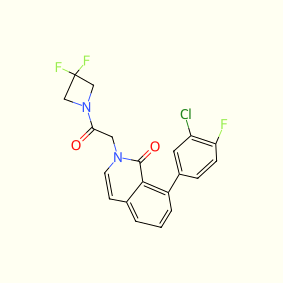 O=C(Cn1ccc2cccc(-c3ccc(F)c(Cl)c3)c2c1=O)N1CC(F)(F)C1